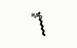 CCCCCCCCO[SiH2]C